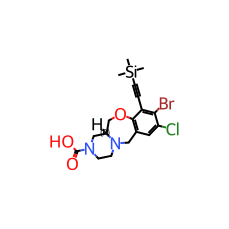 C[Si](C)(C)C#Cc1c(Br)c(Cl)cc2c1OC[C@H]1CN(C(=O)O)CCN1C2